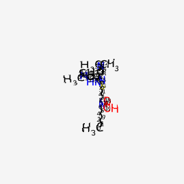 CCCCCCCN(CCCCCSc1nc(-c2ccc(N(C)C)cc2)c(-c2ccc(N(C)C)cc2)[nH]1)C(=O)O